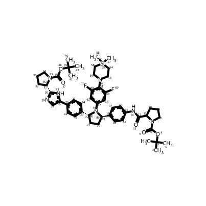 CC(C)(C)OC(=O)N1CCCC1C(=O)Nc1ccc([C@H]2CC[C@H](c3ccc(-c4cnc([C@@H]5CCCN5C(=O)OC(C)(C)C)[nH]4)cc3)N2c2cc(F)c(N3CC[Si](C)(C)CC3)c(F)c2)cc1